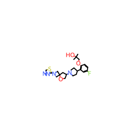 CC(C)(O)COc1ccc(F)cc1C1CCN(C2COC3(C2)CN(c2nncs2)C3)CC1